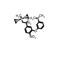 C=P(CC(C)c1ccc([N+](=O)[O-])c(Oc2cccc(N(C)C)c2)c1)(N1CC1)N1CC1